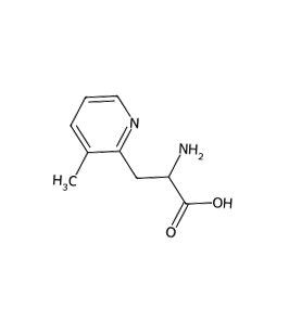 Cc1cccnc1CC(N)C(=O)O